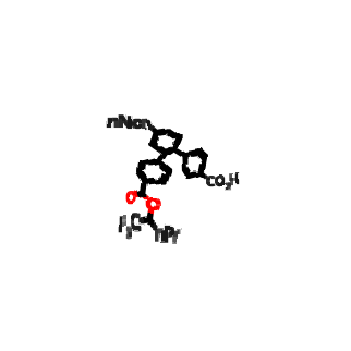 CCCCCCCCCc1ccc(-c2ccc(C(=O)O)cc2)c(-c2ccc(C(=O)OC(CCC)C(F)(F)F)cc2)c1